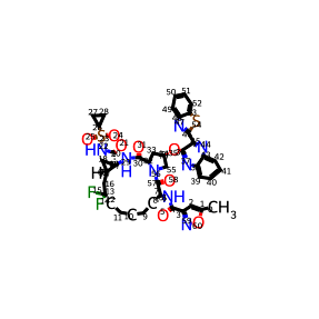 Cc1cc(C(=O)N[C@H]2CCCCCC(F)(F)C[C@@H]3C[C@@]3(C(=O)NS(=O)(=O)C3CC3)NC(=O)C3C[C@@H](Oc4nc5ccccc5nc4-c4nc5ccccc5s4)CN3C2=O)no1